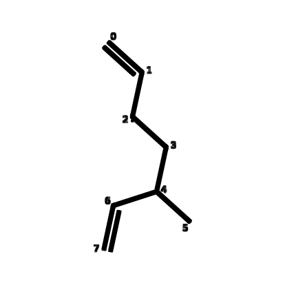 C=C[CH]CC(C)C=C